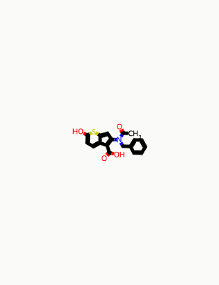 CC(=O)N(Cc1ccccc1)c1cc2sc(O)ccc-2c1C(=O)O